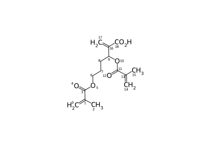 C=C(C)C(=O)OCCCC(OC(=O)C(=C)C)C(=C)C(=O)O